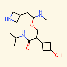 CNC(CC1CNC1)OCC(C(=O)NC(C)C)C1CC(O)C1